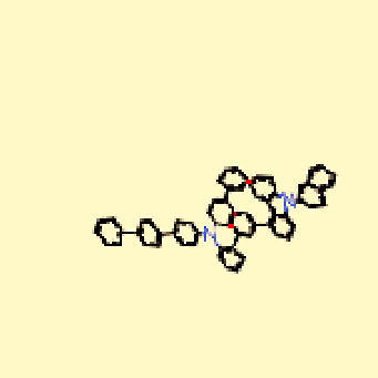 C1=CC(N(c2ccc(-c3ccc(-c4ccccc4)cc3)cc2)c2ccccc2-c2cccc(-c3cccc4c3c3ccccc3n4-c3ccc4ccccc4c3)c2)CC=C1c1ccccc1